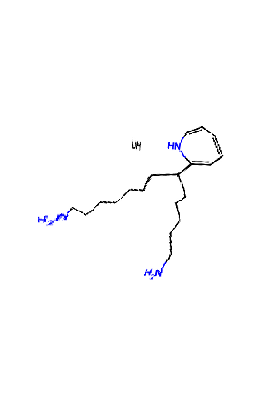 NCCCCCCCC(CCCCCN)C1=CC=CC=CN1.[LiH]